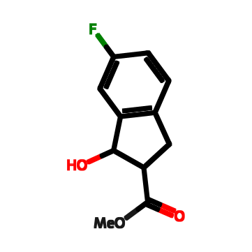 COC(=O)C1Cc2ccc(F)cc2C1O